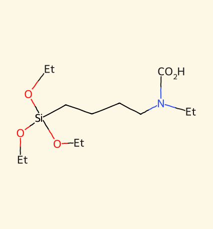 CCO[Si](CCCCN(CC)C(=O)O)(OCC)OCC